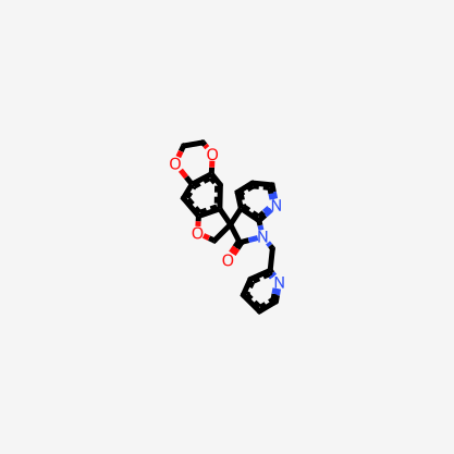 O=C1N(Cc2ccccn2)c2ncccc2C12COc1cc3c(cc12)OCCO3